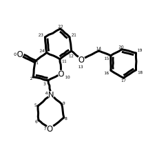 O=c1cc(N2CCOCC2)oc2c(OCc3ccccc3)cccc12